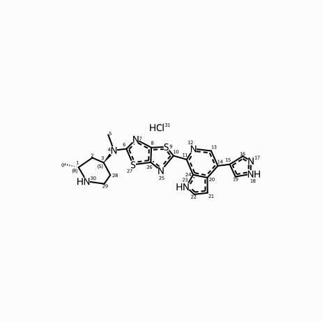 C[C@@H]1C[C@@H](N(C)c2nc3sc(-c4ncc(-c5cn[nH]c5)c5cc[nH]c45)nc3s2)CCN1.Cl